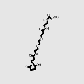 CC(C)(C)OC(=O)NCCNC(=O)CCOCCOCCNC(=O)CCN1C(=O)C=CC1O